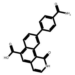 NC(=O)c1ccc(-c2ccc3c(C(=O)O)cc4cc[nH]c(=O)c4c3c2)cc1